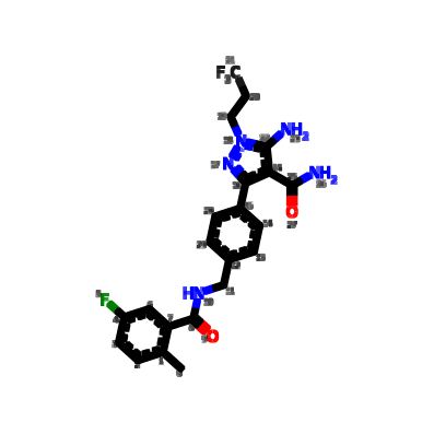 Cc1ccc(F)cc1C(=O)NCc1ccc(-c2nn(CCC(F)(F)F)c(N)c2C(N)=O)cc1